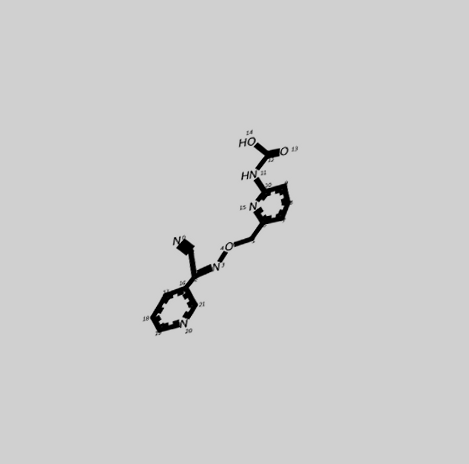 N#CC(=NOCc1cccc(NC(=O)O)n1)c1cccnc1